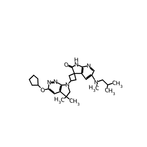 CC(C)CN(C)c1cnc2c(c1)C1(CC(N3CC(C)(C)c4cc(OC5CCCC5)nnc43)C1)C(=O)N2